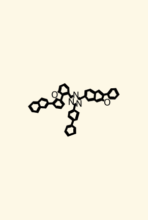 c1ccc(-c2ccc(-c3nc(-c4ccc5cc6c(cc5c4)oc4ccccc46)nc(-c4cccc5oc6c(-c7ccc8ccccc8c7)cccc6c45)n3)cc2)cc1